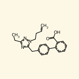 C=CCCn1nc(CC)nc1Cc1ccc(-c2ccccc2C(=O)O)cc1